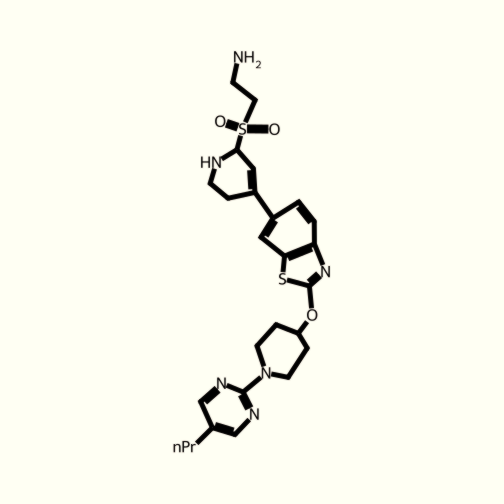 CCCc1cnc(N2CCC(Oc3nc4ccc(C5=CC(S(=O)(=O)CCN)NCC5)cc4s3)CC2)nc1